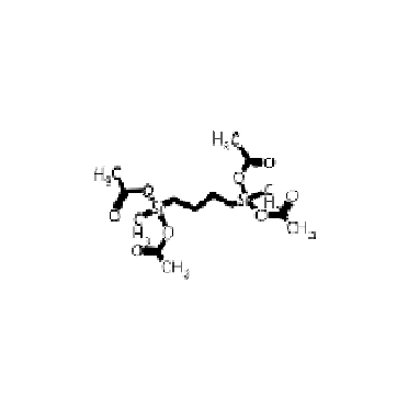 CC(=O)O[Si](C)(CCCC[Si](C)(OC(C)=O)OC(C)=O)OC(C)=O